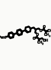 C=C(C)C(=O)OCC(COC(=O)C(=C)CO)CC1CC=C(c2ccc(-c3ccc(CCCCC)cc3)cc2)CC1